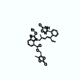 C=C/C(=C\C=C(/C)Cn1c(OCC)nc2cccc(C(=O)OCc3oc(=O)oc3C)c21)c1ccccc1-c1noc(=O)[nH]1